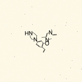 C=Cc1ccc(N2CCNCC2)cc1ON(C)/C(C)=C\N(C)C=C